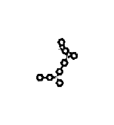 c1ccc(-c2ccc(N(c3ccccc3)c3ccc(-c4ccc(-n5c6ccccc6c6cc7c(cc65)oc5ccccc57)cc4)cc3)cc2)cc1